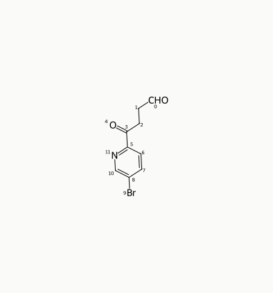 O=CCCC(=O)c1ccc(Br)cn1